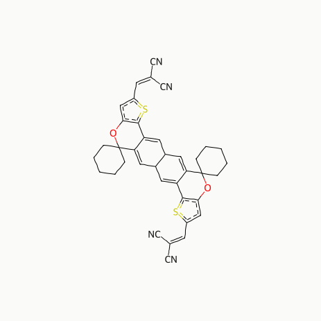 N#CC(C#N)=Cc1cc2c(s1)C1=CC3C=C4C(=CC3C=C1C1(CCCCC1)O2)c1sc(C=C(C#N)C#N)cc1OC41CCCCC1